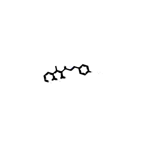 COc1ccc(/C=C/C(=O)c2c(C)c3cccnc3[nH]c2=O)cc1